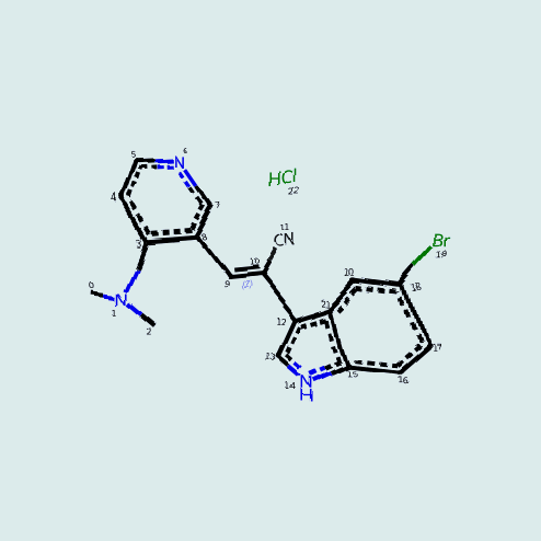 CN(C)c1ccncc1/C=C(\C#N)c1c[nH]c2ccc(Br)cc12.Cl